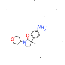 CC1(c2ccc(N)cc2)CCN(C2CCOCC2)C1=O